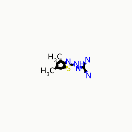 Cc1cc(C)c2nc(NN=C(C#N)C#N)sc2c1